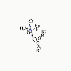 [N-]=[N+]=NCOc1ccc(/C=C/C(=O)/C(CCC(F)(F)F)=C(/C=C/c2ccccc2)ON)cc1OCN=[N+]=[N-]